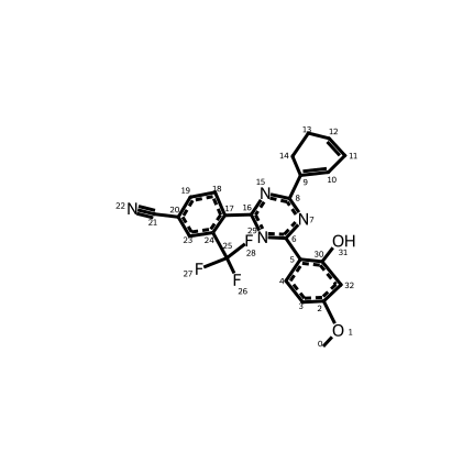 COc1ccc(-c2nc(C3=CC=CCC3)nc(-c3ccc(C#N)cc3C(F)(F)F)n2)c(O)c1